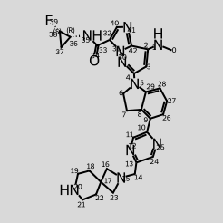 CNc1cc(N2CCc3c(-c4cnc(CN5CC6(CCNCC6)C5)cn4)cccc32)nn2c(C(=O)N[C@@H]3C[C@@H]3F)cnc12